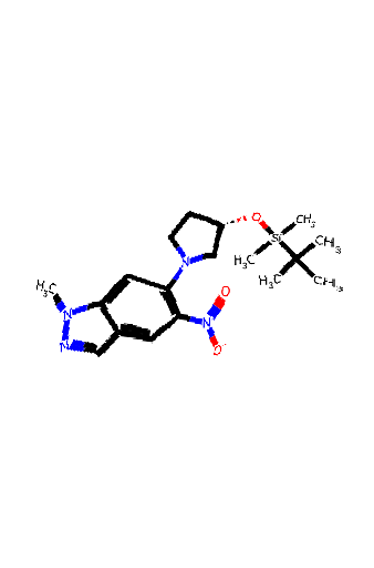 Cn1ncc2cc([N+](=O)[O-])c(N3CC[C@H](O[Si](C)(C)C(C)(C)C)C3)cc21